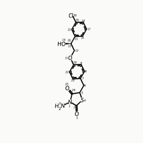 NN1C(=O)SC(Cc2ccc(OC[C@@H](O)c3cccc(Cl)c3)cc2)C1=O